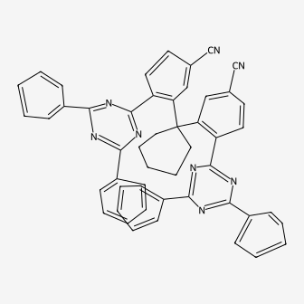 N#Cc1ccc(-c2nc(-c3ccccc3)nc(-c3ccccc3)n2)c(C2(c3cc(C#N)ccc3-c3nc(-c4ccccc4)nc(-c4ccccc4)n3)CCCCC2)c1